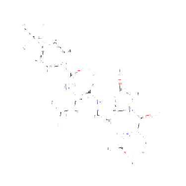 CCC(NC(C)=O)C(=O)N1CC(=O)C2C1CCN2C(=O)C(CC(C)C)NC(=O)c1ccc(C(C)(C)C)cc1